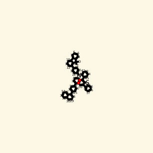 CC1(C)c2ccccc2-c2cccc(-c3ccc(N(c4ccc(-c5ccc(-c6cccc7ccccc67)cc5)cc4)c4ccccc4-c4cccc5c4sc4ccccc45)cc3)c21